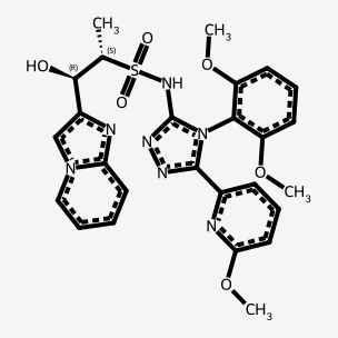 COc1cccc(-c2nnc(NS(=O)(=O)[C@@H](C)[C@H](O)c3cn4ccccc4n3)n2-c2c(OC)cccc2OC)n1